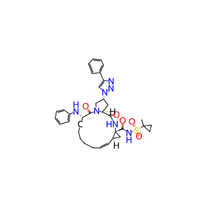 CC1(S(=O)(=O)NC(=O)[C@@]23C[C@H]2/C=C\CCCCC[C@H](Nc2ccccc2)C(=O)N2C[C@H](n4cc(-c5ccccc5)nn4)C[C@H]2C(=O)N3)CC1